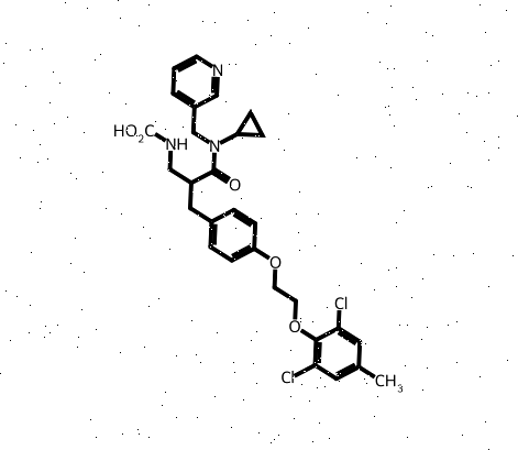 Cc1cc(Cl)c(OCCOc2ccc(CC(CNC(=O)O)C(=O)N(Cc3cccnc3)C3CC3)cc2)c(Cl)c1